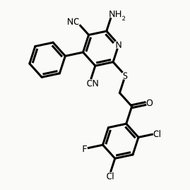 N#Cc1c(N)nc(SCC(=O)c2cc(F)c(Cl)cc2Cl)c(C#N)c1-c1ccccc1